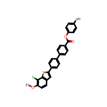 CCCc1ccc(OC(=O)c2ccc(-c3ccc(-c4cc5ccc(OCC)c(F)c5s4)cc3)cc2)cc1